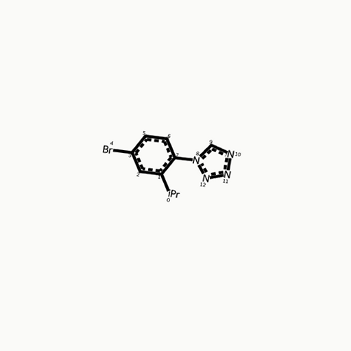 CC(C)c1cc(Br)ccc1-n1cnnn1